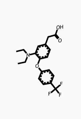 CCN(CC)c1cc(CC(=O)O)ccc1Oc1ccc(C(F)(F)F)cc1